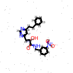 O=C(NCc1cccc([N+](=O)[O-])c1)/C(O)=C/c1cc(CCc2ccccc2)ncn1